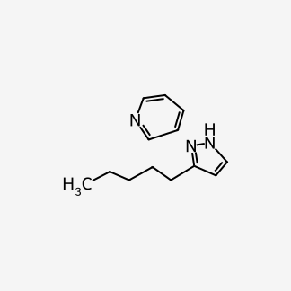 CCCCCc1cc[nH]n1.c1ccncc1